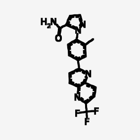 Cc1cc(-c2ccc3nc(C(F)(F)F)ccc3n2)ccc1-n1nccc1C(N)=O